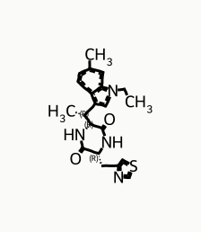 CCn1cc([C@@H](C)[C@H]2NC(=O)[C@@H](Cc3cscn3)NC2=O)c2ccc(C)cc21